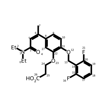 CCN(CC)C(=O)/C=C(/C)c1ccc(OCc2c(F)cccc2F)c(OCCC(=O)O)c1